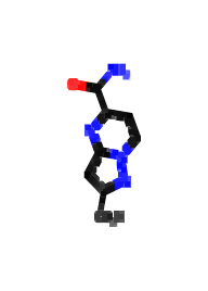 NC(=O)c1ccn2nc(C(=O)O)cc2n1